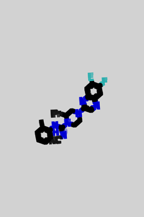 Cc1ccccc1N/C(=N\C#N)N1CCN(c2cnc3cc(F)c(F)cc3n2)CC1C(C)C